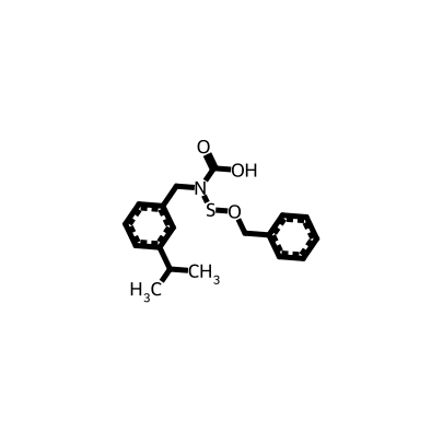 CC(C)c1cccc(CN(SOCc2ccccc2)C(=O)O)c1